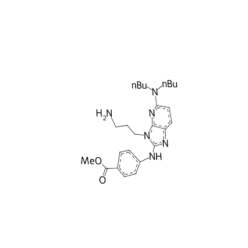 CCCCN(CCCC)c1ccc2nc(Nc3ccc(C(=O)OC)cc3)n(CCCN)c2n1